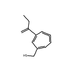 C=C(CC)C1=CC(CS)=CC=C=C1